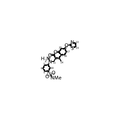 CNS(=O)(=O)c1cccc(N(N)Cc2c(C)c3ccc(Oc4nccs4)cc3oc2=O)c1